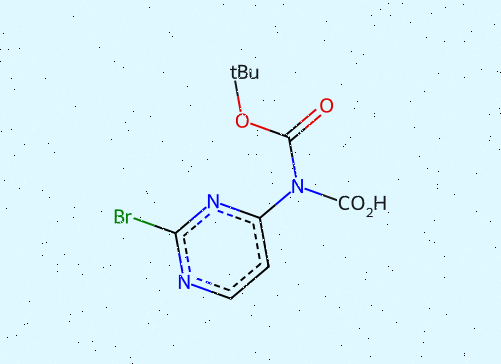 CC(C)(C)OC(=O)N(C(=O)O)c1ccnc(Br)n1